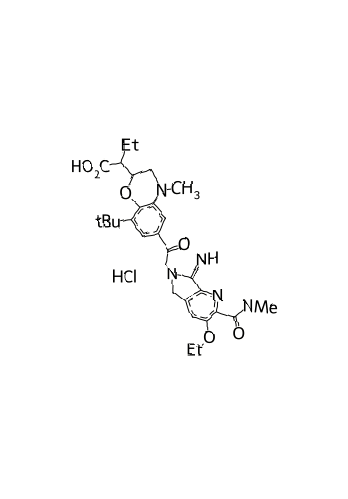 CCOc1cc2c(nc1C(=O)NC)C(=N)N(CC(=O)c1cc3c(c(C(C)(C)C)c1)OC(C(CC)C(=O)O)CN3C)C2.Cl